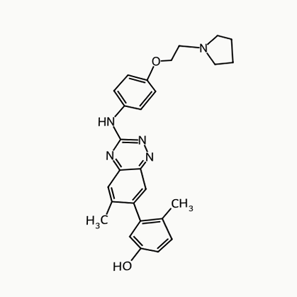 Cc1ccc(O)cc1-c1cc2nnc(Nc3ccc(OCCN4CCCC4)cc3)nc2cc1C